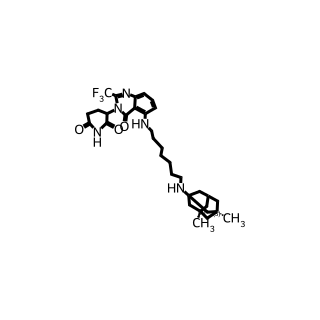 C[C@]12CC3CC(NCCCCCCCNc4cccc5nc(C(F)(F)F)n(C6CCC(=O)NC6=O)c(=O)c45)(C1)C[C@@](C)(C3)C2